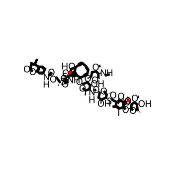 CCN[C@H]1CO[C@@H](O[C@H]2[C@H](O[C@H]3C#C/C=C\C#C[C@]4(O)CC(=O)C(NC(=O)OC)=C3/C4=C\CSS[C@H](C)COC(=O)Nc3ccc4c(C)cc(=O)oc4c3)O[C@H](C)[C@@H](NO[C@H]3C[C@H](O)[C@H](SC(=O)c4c(C)c(I)c(O[C@@H]5O[C@@H](C)[C@H](O)[C@@H](OC)[C@H]5O)c(OC)c4OC)[C@@H](C)O3)[C@@H]2O)C[C@@H]1OC